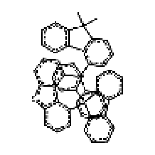 CC1(C)c2ccccc2-c2c(N(c3ccccc3)c3cccc4sc5cccc(C6(c7ccccc7)c7ccccc7-c7ccccc76)c5c34)cccc21